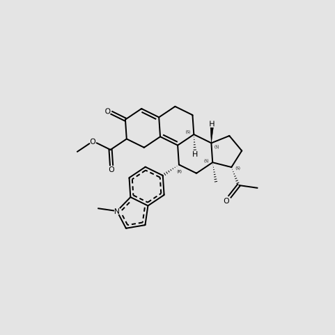 COC(=O)C1CC2=C3[C@@H](CCC2=CC1=O)[C@@H]1CC[C@H](C(C)=O)[C@@]1(C)C[C@@H]3c1ccc2c(ccn2C)c1